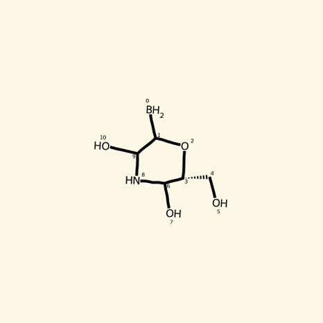 BC1O[C@H](CO)C(O)NC1O